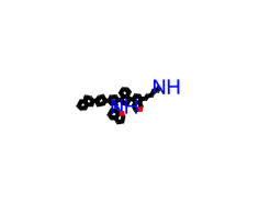 N=CCCCCC1C=CC(C2C=CC(C3CCC(C4CC=C(C5CC=C6CCCCC6C5)CC4)C=C3NC3CCC=C4CCCCC43)C3CCC=CC23)C2CCC=CC12